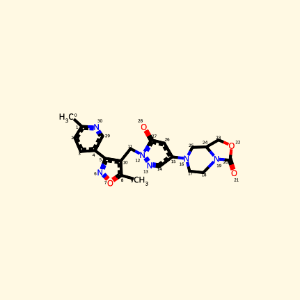 Cc1ccc(-c2noc(C)c2Cn2ncc(N3CCN4C(=O)OCC4C3)cc2=O)cn1